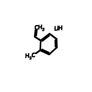 C=Cc1ccccc1C.[LiH]